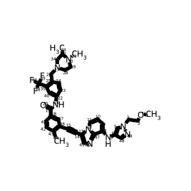 COCCn1cc(Nc2cccn3c(C#Cc4cc(C(=O)Nc5ccc(CN6CCN(C)C(C)C6)c(C(F)(F)F)c5)ccc4C)cnc23)cn1